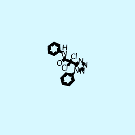 O=C(Nc1ccccc1)C(Cl)(Cl)c1nnnn1-c1ccccc1